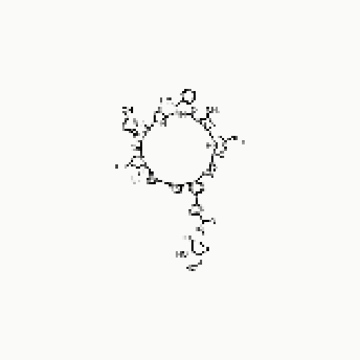 Cc1sc2nc1C(=O)N[C@@H]([C@H](O)c1ccccc1)c1nc(cs1)C(=O)N[C@@H](Cc1ccc(O)cc1)C(=O)N1C[C@H](O)[C@H](C)[C@H]1c1nc(cs1)-c1nc(cs1)-c1nc(-c3nc(C(=O)NC[C@@H]4O[C@@H](CO)[C@H](O)[C@H]4O)cs3)ccc1-c1nc(cs1)C(=O)N[C@H]2CC(N)=O